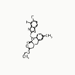 CCOC(=O)CC1Cc2cc(C)ccc2N(Cc2nc3c(F)c(F)ccc3s2)C1=O